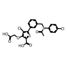 CC(=O)N(Cc1cccc(-c2sc(C(=O)O)c(OCC(=O)O)c2Cl)c1)c1ccc(Cl)cc1